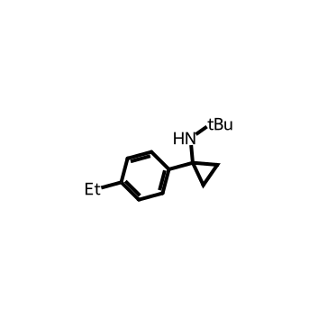 CCc1ccc(C2(NC(C)(C)C)CC2)cc1